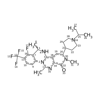 Cc1nc(N[C@H](C)c2cccc(C(F)(F)F)c2F)c2cc(C3CCN(C(C)C)CC3)n(C)c(=O)c2n1